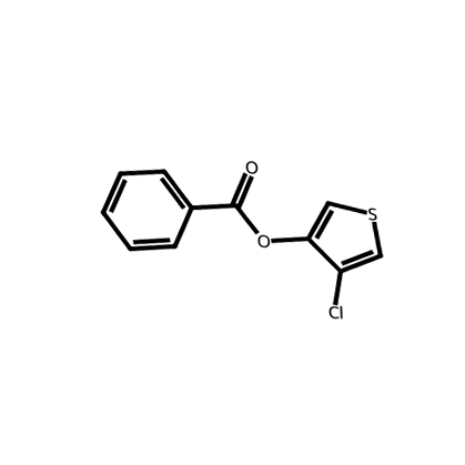 O=C(Oc1cscc1Cl)c1ccccc1